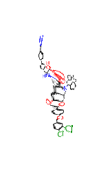 CCC(c1ccccc1)N1Cc2cc3c(cc2C[C@H]1C(=O)N[C@@H](Cc1ccc(-c2ccc(C#N)cc2)cc1)C(=O)O)OC[C@H](c1ccc(OCc2ccc(Cl)c(Cl)c2)cc1)O3